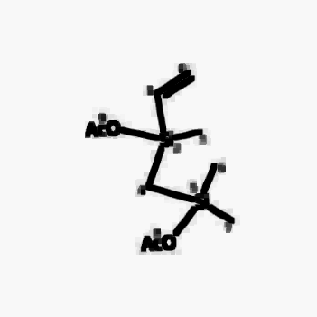 C=C[Si](C)(C[Si](C)(C)OC(C)=O)OC(C)=O